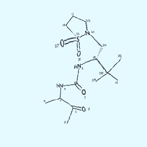 CC(=O)C(C)NC(=O)N[C@H](CN1CCCS1(=O)=O)C(C)(C)C